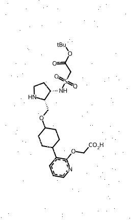 CC(C)(C)OC(=O)CS(=O)(=O)N[C@H]1CCN[C@H]1COC1CCC(c2cccnc2OCC(=O)O)CC1